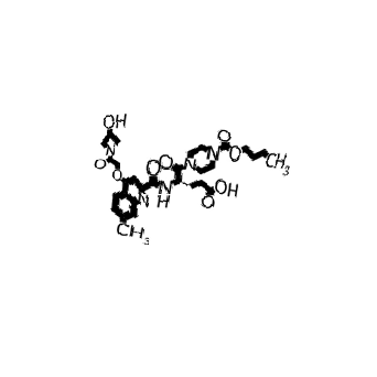 CCCCOC(=O)N1CCN(C(=O)[C@H](CCC(=O)O)NC(=O)c2cc(OCC(=O)N3CC(O)C3)c3ccc(C)cc3n2)CC1